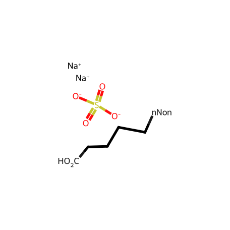 CCCCCCCCCCCCCC(=O)O.O=S(=O)([O-])[O-].[Na+].[Na+]